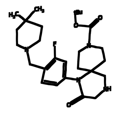 CC1(C)CCN(Cc2ccc(N3C(=O)CNCC34CCN(C(=O)OC(C)(C)C)CC4)cc2F)CC1